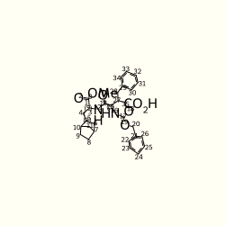 COC(=O)[C@H](C[C@H]1CC2CCC1C2)NC(=O)[C@@H](NC(=O)OCc1ccccc1)C(Cc1ccccc1)C(=O)O